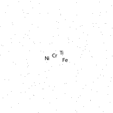 [Cr].[Fe].[Ni].[Ti]